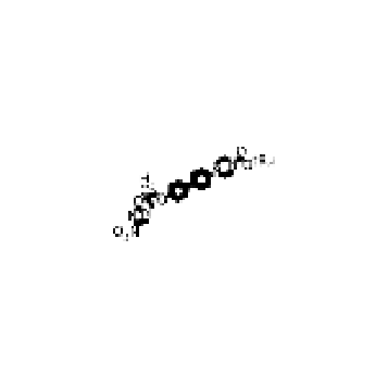 CC(C)(C)OC(=O)N1CCN(c2ccc(-c3ccc(OC[C@@]4(C)Cn5cc([N+](=O)[O-])nc5O4)cc3)cc2)CC1